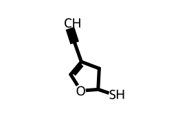 C#CC1=COC(S)C1